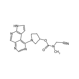 CN(CC#N)C(=O)OC1CCN(c2ncnc3cnc4[nH]ccc4c23)C1